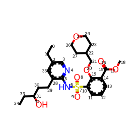 CCc1cnc(NS(=O)(=O)c2cccc(C(=O)OC)c2OCC2CCOCC2)c(CCC(O)CC)c1